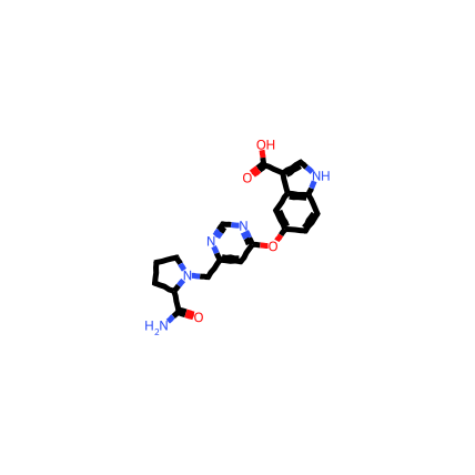 NC(=O)C1CCCN1Cc1cc(Oc2ccc3[nH]cc(C(=O)O)c3c2)ncn1